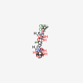 C/C(=C\c1ccc(O[C@@H]2O[C@H](/C(C)=N/OCc3cc(F)cc(Cl)c3Cl)[C@@H](O)[C@H]2O)c(F)c1)C(=O)N[C@@H]1[C@H](O)[C@@H](O)[C@H]2OCO[C@H]2[C@@H]1O